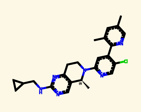 Cc1cnc(-c2cc(N3CCc4nc(NCC5CC5)ncc4[C@H]3C)ncc2Cl)c(C)c1